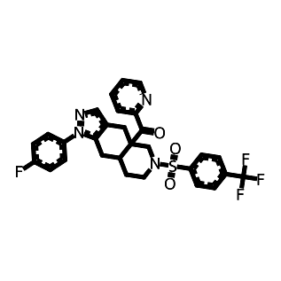 O=C(c1ccccn1)C12Cc3cnn(-c4ccc(F)cc4)c3CC1CCN(S(=O)(=O)c1ccc(C(F)(F)F)cc1)C2